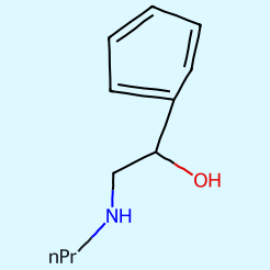 CCCNCC(O)c1ccccc1